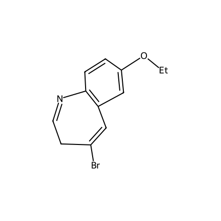 CCOc1ccc2c(c1)C=C(Br)CC=N2